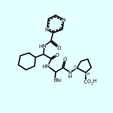 CC(C)(C)C(NC(=O)C(NC(=O)c1cnccn1)C1CCCCC1)C(=O)N[C@H]1CCC[C@H]1C(=O)O